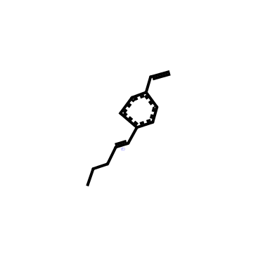 C=Cc1ccc(/C=C/CCC)cc1